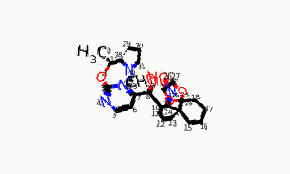 C[C@H](Oc1nccc(C(=O)C2CCC[C@@]3(CCCCC34OCCO4)/C2=N/O)n1)[C@@H]1CCCN1C